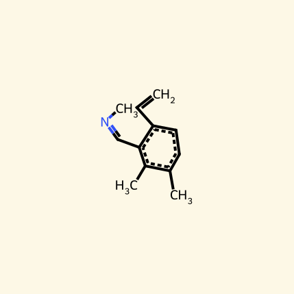 C=Cc1ccc(C)c(C)c1/C=N\C